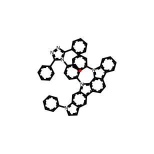 c1ccc(-c2nnc(-c3ccccc3)n2-c2ccc(-n3c4cc5c(ccn5-c5ccccc5)cc4c4ccc5c6ccccc6n(-c6ccccc6)c5c43)cc2)cc1